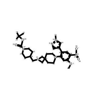 COc1cc(N2CCC3(CC2)CN(CC2CCN(C(=O)OC(C)(C)C)CC2)C3)c(-c2cnn(C)c2)cc1[N+](=O)[O-]